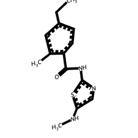 CCc1ccc(C(=O)Nc2ncc(NC)s2)c(C)c1